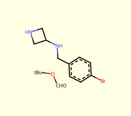 Brc1ccc(CNC2CNC2)cc1.CC(C)(C)OC=O